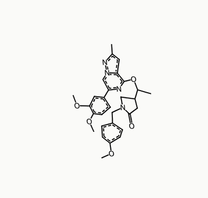 COc1ccc(CN2CC(C(C)Oc3nc(-c4ccc(OC)c(OC)c4)cn4nc(C)cc34)CC2=O)cc1